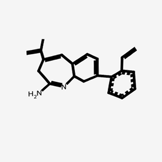 C=Cc1ccccc1C1=CC=C2C=C(C(=C)C)CC(N)=NC2C1